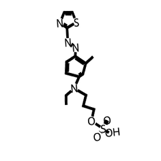 CCN(CCCOS(=O)(=O)O)c1ccc(/N=N/c2nccs2)c(C)c1